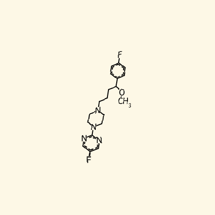 COC(CCCN1CCN(c2ncc(F)cn2)CC1)c1ccc(F)cc1